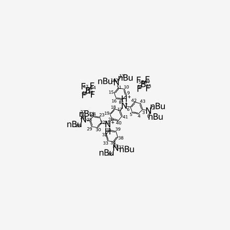 CCCCN(CCCC)c1ccc([NH+](c2ccc(N(CCCC)CCCC)cc2)c2ccc([NH+](c3ccc(N(CCCC)CCCC)cc3)c3ccc(N(CCCC)CCCC)cc3)cc2)cc1.F[B-](F)(F)F.F[B-](F)(F)F